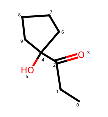 CCC(=O)C1(O)CCCC1